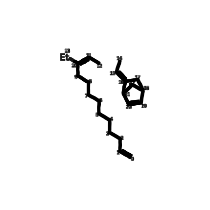 C=CCCCCCCCCC(=CC)CC.CC=C1CC2C=CC1C2